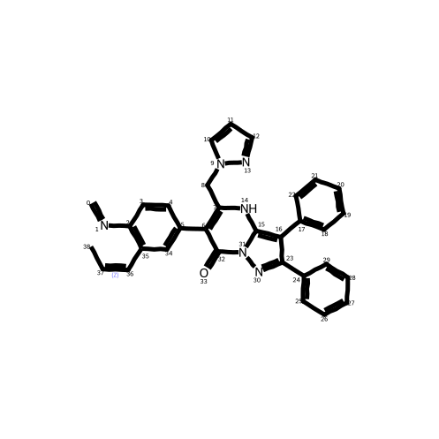 C=Nc1ccc(-c2c(Cn3cccn3)[nH]c3c(-c4ccccc4)c(-c4ccccc4)nn3c2=O)cc1/C=C\C